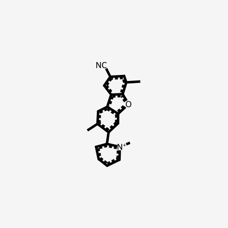 Cc1cc2c(cc1-c1cccc[n+]1C)oc1c(C)cc(C#N)cc12